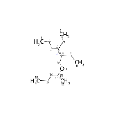 CCC/C(CC)=C(/CC)CO[C@H](C)CCC